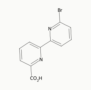 O=C(O)c1cccc(-c2cccc(Br)n2)n1